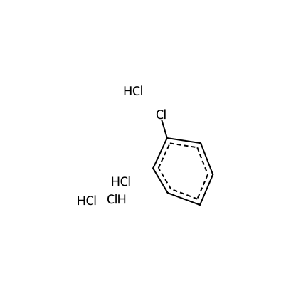 Cl.Cl.Cl.Cl.Clc1ccccc1